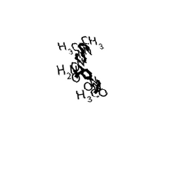 CC(=O)N1CCN(c2ccc(C(=O)N3CCN(c4ncc(C)cc4C)CC3)c(C(N)=O)c2)C1=O